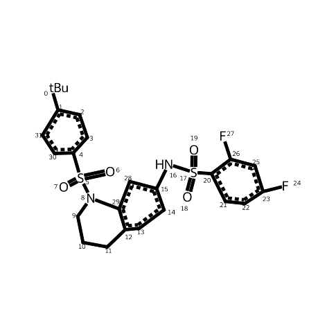 CC(C)(C)c1ccc(S(=O)(=O)N2CCCc3ccc(NS(=O)(=O)c4ccc(F)cc4F)cc32)cc1